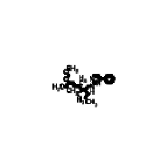 C=C(C)\C(=C/C=C(C)/C(C)=C(/CCC)CNc1nccc(-c2ccccc2)n1)OCOC